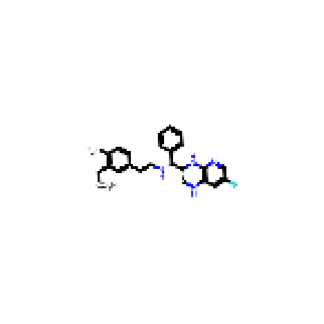 Cc1ccc(CCN[C@H](c2ccccc2)[C@H]2CNc3cc(F)cnc3N2)cc1CC(=O)O